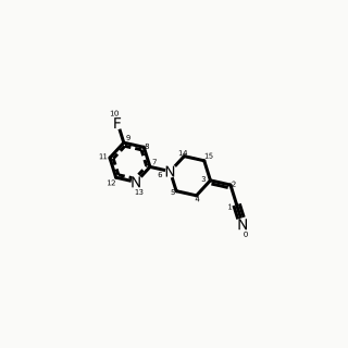 N#CC=C1CCN(c2cc(F)ccn2)CC1